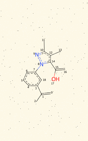 C=C(C)c1cccc(-n2nc(C)c(C)c2C(=C)O)c1